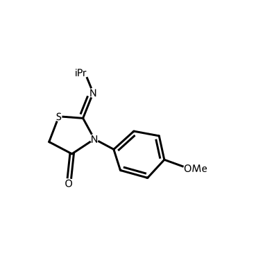 COc1ccc(N2C(=O)CSC2=NC(C)C)cc1